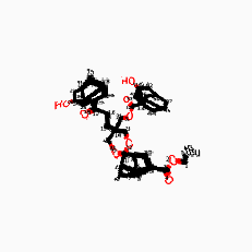 CC(C)(C)COC(=O)C12CC3CC(C1)C1(OCC(CCC(=O)C45CC6CC(CC(O)(C6)C4)C5)(COC(=O)C45CC6CC(CC(O)(C6)C4)C5)CO1)C(C3)C2